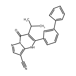 CC(C)c1c(-c2cccc(-c3ccccc3)c2)[nH]c2c(C#N)cnn2c1=O